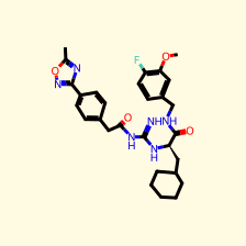 COc1cc(CNC(=O)[C@@H](CC2CCCCC2)NC(=N)NC(=O)Cc2ccc(-c3noc(C)n3)cc2)ccc1F